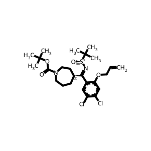 C=CCOc1cc(Cl)c(Cl)cc1C(=N[S@@+]([O-])C(C)(C)C)[C@H]1CCCN(C(=O)OC(C)(C)C)CC1